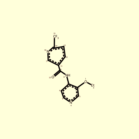 CCOc1cnccc1NC(=O)c1ccc(C(F)(F)F)nc1